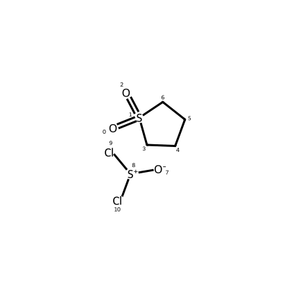 O=S1(=O)CCCC1.[O-][S+](Cl)Cl